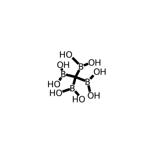 OB(O)C(B(O)O)(B(O)O)B(O)O